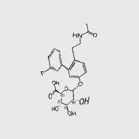 CC(=O)NCCc1ccc(OC2O[C@H](C(=O)O)[C@@H](O)[C@H](O)[C@H]2O)cc1-c1cccc(F)c1